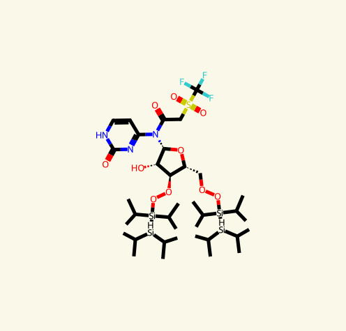 CC(C)[SiH](C(C)C)[Si](OOC[C@H]1O[C@@H](N(C(=O)CS(=O)(=O)C(F)(F)F)c2cc[nH]c(=O)n2)[C@@H](O)[C@@H]1OO[Si](C(C)C)(C(C)C)[SiH](C(C)C)C(C)C)(C(C)C)C(C)C